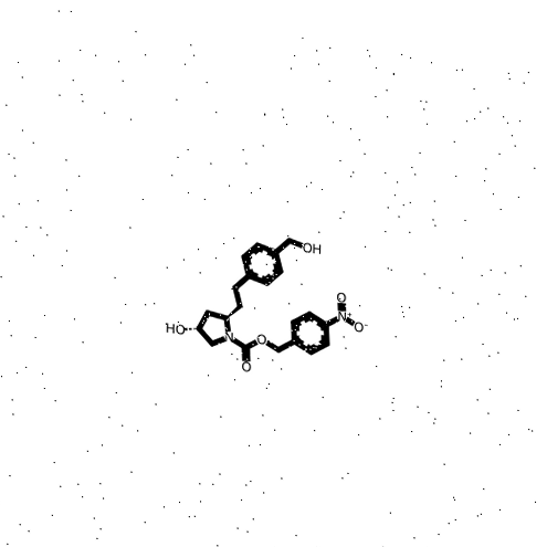 O=C(OCc1ccc([N+](=O)[O-])cc1)N1C[C@H](O)C[C@H]1CCc1ccc(CO)cc1